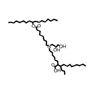 CCCCCCCCC(CCCCCCCC)OC(=O)CCCCCCCN(CCCCCCC(C(=O)O)C(CCC)CCCCCCCC)CC(O)CO